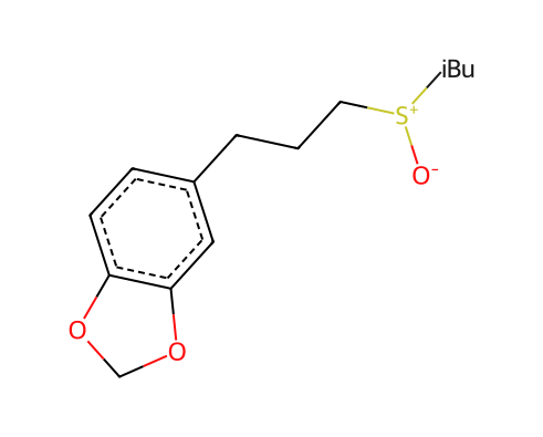 CCC(C)[S+]([O-])CCCc1ccc2c(c1)OCO2